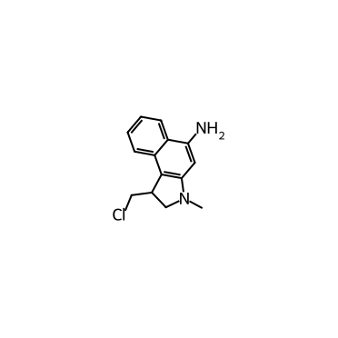 CN1CC(CCl)c2c1cc(N)c1ccccc21